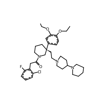 CCOc1ccc([C@@]2(CCN3CCC(N4CCCCC4)CC3)CCCN(C(=O)Cc3c(F)cccc3Cl)C2)cc1OCC